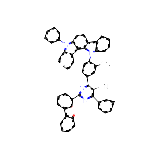 N#Cc1cc(-c2nc(-c3cccc4c3oc3ccccc34)nc(-c3ccccc3)c2C#N)ccc1-n1c2ccccc2c2ccc3c(c4ccccc4n3-c3ccccc3)c21